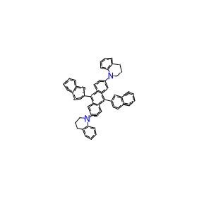 c1ccc2c(c1)CCCN2c1ccc2c(-c3ccc4ccccc4c3)c3cc(N4CCCc5ccccc54)ccc3c(-c3ccc4ccccc4c3)c2c1